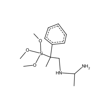 CO[Si](OC)(OC)C(C)(CNC(C)N)c1ccccc1